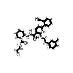 N#Cc1ccccc1-c1ccc(C(=O)NC[C@H]2CCCCN2C(=O)OCCCl)c(NCCc2cccc(F)c2)n1